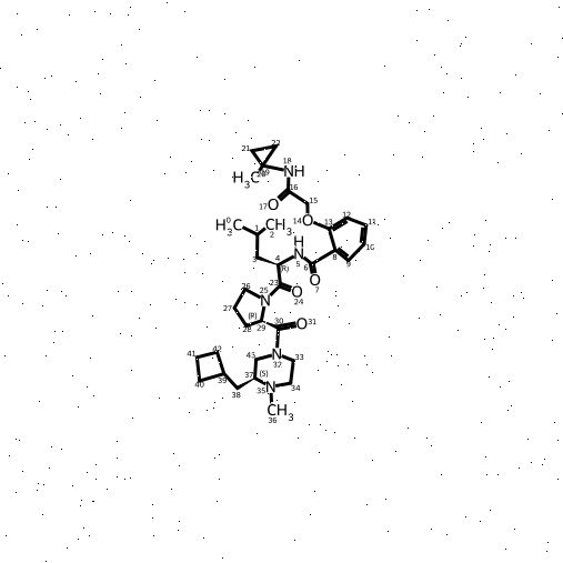 CC(C)C[C@@H](NC(=O)c1ccccc1OCC(=O)NC1(C)CC1)C(=O)N1CCC[C@@H]1C(=O)N1CCN(C)[C@@H](CC2CCC2)C1